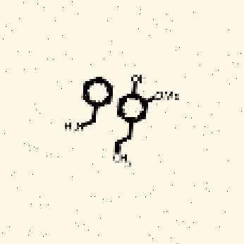 C=CCc1ccc(O)c(OC)c1.NCc1ccccc1